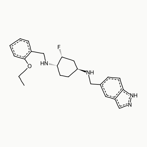 CCOc1ccccc1CN[C@H]1CC[C@H](NCc2ccc3[nH]ncc3c2)C[C@H]1F